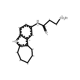 CCOC(=O)CCC(=O)Nc1ccc2oc3c(c2c1)CCCCC3